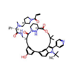 C=CC(=O)N1CC[C@H](CN(C)[C@H](C(=O)NC[C@H]2Cc3cc(O)cc(c3)-c3ccc4c(c3)c(c(-c3ccncc3)n4C(C)(C)C#N)CC(C)(C)COC(=O)[C@@H]3CCCN(N3)C2=O)C(C)C)C1